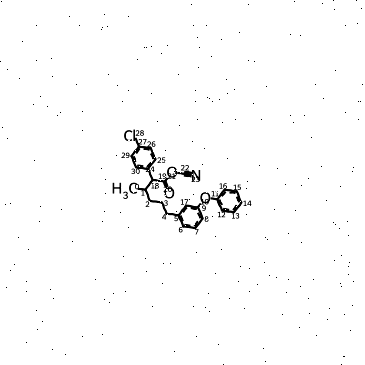 CC(CCCc1cccc(Oc2ccccc2)c1)C(C(=O)OC#N)c1ccc(Cl)cc1